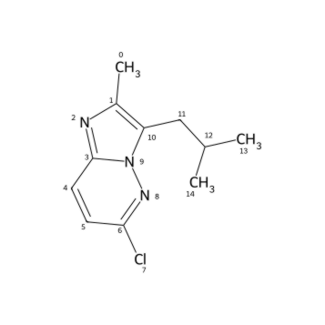 Cc1nc2ccc(Cl)nn2c1CC(C)C